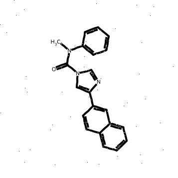 CN(C(=O)n1cnc(-c2ccc3ccccc3c2)c1)c1ccccc1